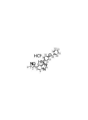 Cc1cc(-c2ccc3ncnc(Nc4ccc(OCc5ccccc5)cc4)c3c2)on1.Cl